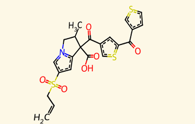 C=CCS(=O)(=O)c1cc2n(c1)CC(C)C2(C(=O)O)C(=O)c1csc(C(=O)c2ccsc2)c1